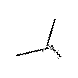 CCCCCCCCCCCCCCCCCCC(=O)OCC(COP(=O)(O)OCCNC(=O)CCC(C)=O)OC(=O)CCCCCCCCCCCCCCCCCC